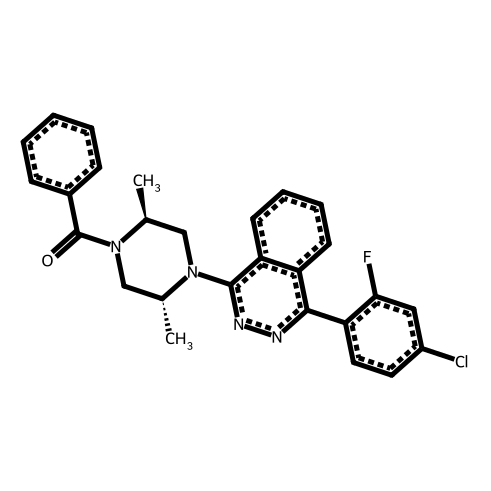 C[C@@H]1CN(C(=O)c2ccccc2)[C@@H](C)CN1c1nnc(-c2ccc(Cl)cc2F)c2ccccc12